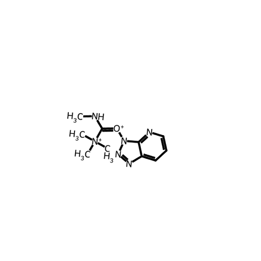 CNC(=[O+]n1nnc2cccnc21)[N+](C)(C)C